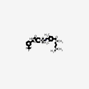 Cc1cc(C(=O)N(C)CCCN(C)C)cc(C)c1/C=C/S(=O)(=O)N1CCC2(CC1)N=C(c1cccc(C(F)(F)F)c1)NC2=O